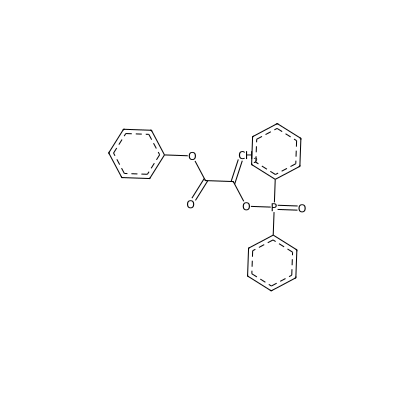 C=C(OP(=O)(c1ccccc1)c1ccccc1)C(=O)Oc1ccccc1